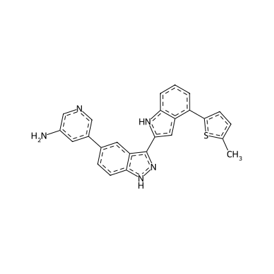 Cc1ccc(-c2cccc3[nH]c(-c4n[nH]c5ccc(-c6cncc(N)c6)cc45)cc23)s1